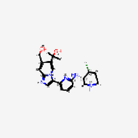 CC(C)(O)c1cn2c(-c3cccc(N[C@H]4CNCC[C@@H]4F)n3)cnc2cc1CO